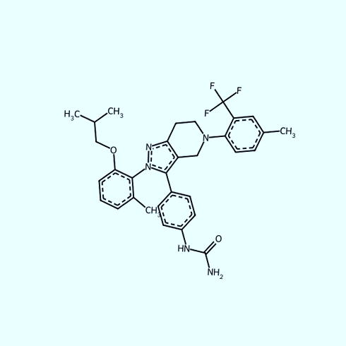 Cc1ccc(N2CCc3nn(-c4c(C)cccc4OCC(C)C)c(-c4ccc(NC(N)=O)cc4)c3C2)c(C(F)(F)F)c1